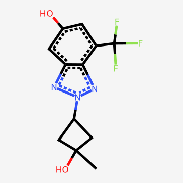 CC1(O)CC(n2nc3cc(O)cc(C(F)(F)F)c3n2)C1